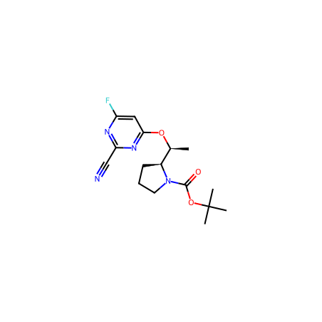 C[C@H](Oc1cc(F)nc(C#N)n1)[C@@H]1CCCN1C(=O)OC(C)(C)C